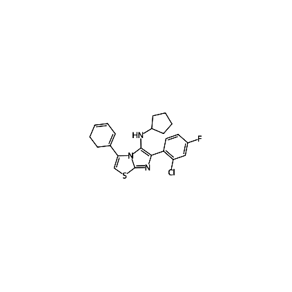 Fc1ccc(-c2nc3scc(C4=CC=CCC4)n3c2NC2CCCC2)c(Cl)c1